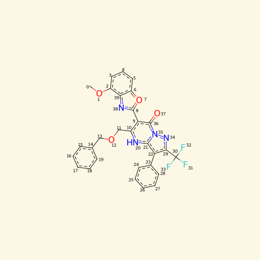 COc1cccc2oc(-c3c(COCc4ccccc4)[nH]c4c(-c5ccccc5)c(C(F)(F)F)nn4c3=O)nc12